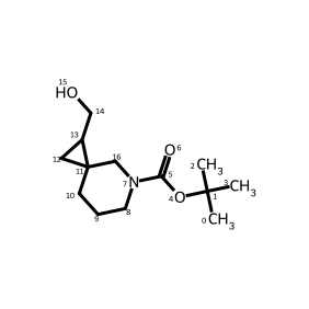 CC(C)(C)OC(=O)N1CCCC2(CC2CO)C1